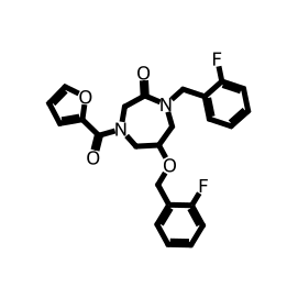 O=C1CN(C(=O)c2ccco2)CC(OCc2ccccc2F)CN1Cc1ccccc1F